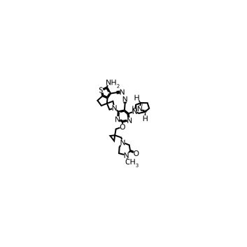 CN1CCN(CC2(COc3nc(N4C[C@H]5CC[C@@H](C4)N5)c(C#N)c(N4CC5(CCc6sc(N)c(C#N)c65)C4)n3)CC2)CC1=O